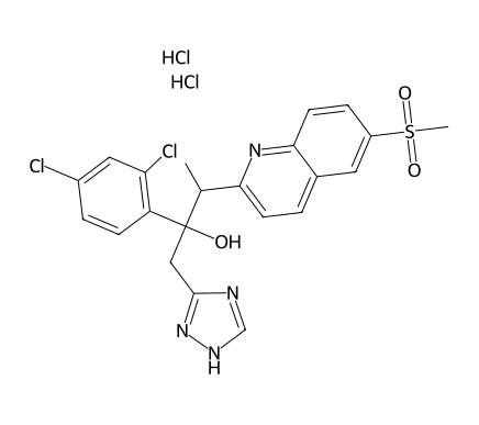 CC(c1ccc2cc(S(C)(=O)=O)ccc2n1)C(O)(Cc1nc[nH]n1)c1ccc(Cl)cc1Cl.Cl.Cl